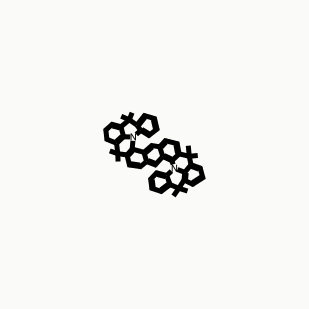 CC1(C)C2=CCCC3=C2N(c2ccccc21)c1c(ccc2cc4c5c(ccc4cc12)C(C)(C)c1cccc2c1N5c1ccccc1C2(C)C)C3(C)C